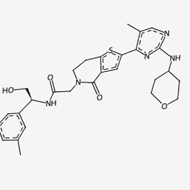 Cc1cccc([C@@H](CO)NC(=O)CN2CCc3sc(-c4nc(NC5CCOCC5)ncc4C)cc3C2=O)c1